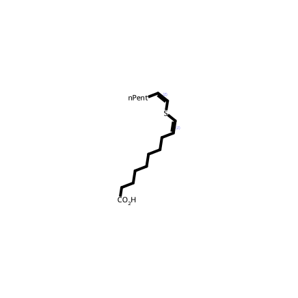 CCCCC/C=C\S/C=C\CCCCCCCC(=O)O